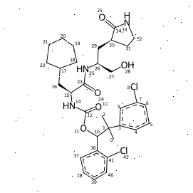 CC(C)(c1cccc(Cl)c1)C(OC(=O)N[C@@H](CC1CCCCC1)C(=O)N[C@H](CO)C[C@@H]1CCNC1=O)c1ccccc1Cl